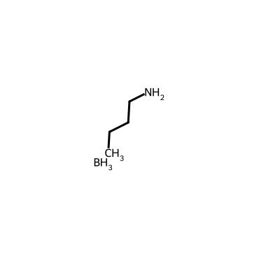 B.CCCCN